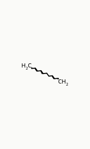 C=CC=C/C=[C]/CCC=CC=C